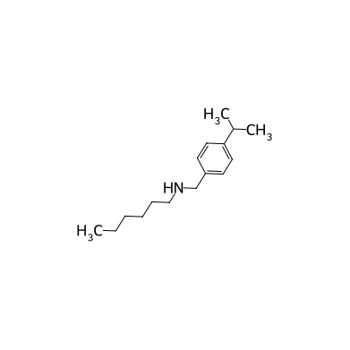 CCCCCCNCc1ccc(C(C)C)cc1